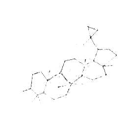 CC1CC[C@]2(C)[C@H]3CC[C@@H]4[C@H]5C(C6(C)CC6)CCC5(C(=O)O)CC[C@@]4(C)[C@]3(C)CC[C@H]2C1(C)C